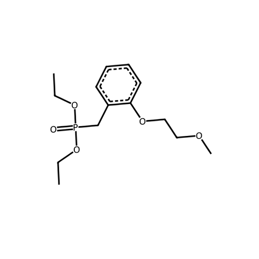 CCOP(=O)(Cc1ccccc1OCCOC)OCC